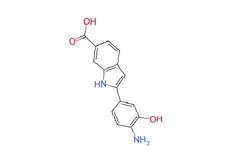 Nc1ccc(-c2cc3ccc(C(=O)O)cc3[nH]2)cc1O